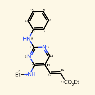 CCNc1nc(Nc2ccccc2)ncc1C=CC(=O)OCC